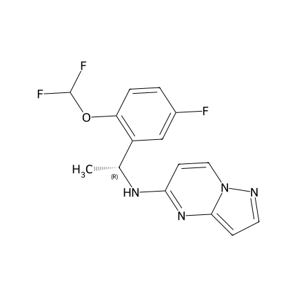 C[C@@H](Nc1ccn2nccc2n1)c1cc(F)ccc1OC(F)F